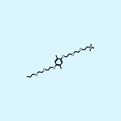 CCCOCCOCCOc1cc(C)c(OCCOCCOCC[N+](C)(C)C)cc1C